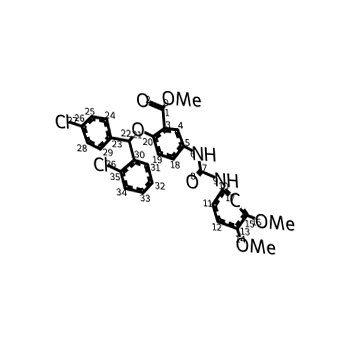 COC(=O)c1cc(NC(=O)Nc2ccc(OC)c(OC)c2)ccc1OC(c1ccc(Cl)cc1)c1ccccc1Cl